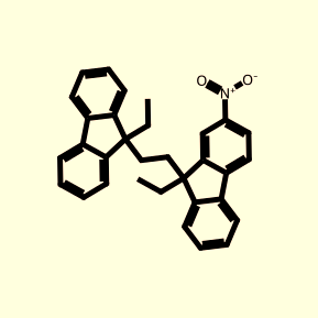 CCC1(CCC2(CC)c3ccccc3-c3ccc([N+](=O)[O-])cc32)c2ccccc2-c2ccccc21